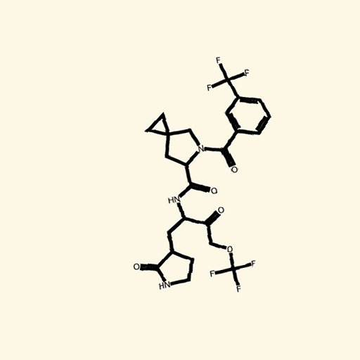 O=C1NCCC1CC(NC(=O)C1CC2(CC2)CN1C(=O)c1cccc(C(F)(F)F)c1)C(=O)COC(F)(F)F